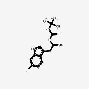 CC(Cc1c[nH]c2cc(F)ccc12)NC(=O)OC(C)(C)C